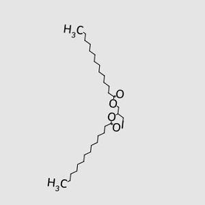 CCCCCCCCCCCCCC(=O)OCC(CI)OC(=O)CCCCCCCCCCCCC